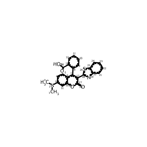 CN(C)c1ccc2c(-c3ccccc3C(=O)O)c(-c3nc4ccccc4s3)c(=O)oc2c1